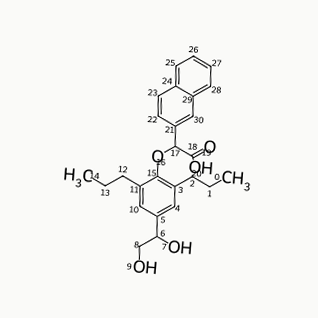 CCCc1cc(C(O)CO)cc(CCC)c1OC(C(=O)O)c1ccc2ccccc2c1